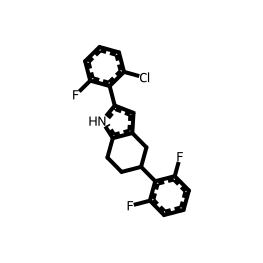 Fc1cccc(Cl)c1-c1cc2c([nH]1)CCC(c1c(F)cccc1F)C2